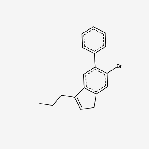 CCCC1=CCc2cc(Br)c(-c3ccccc3)cc21